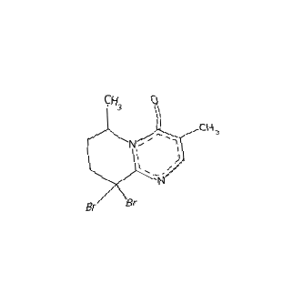 Cc1cnc2n(c1=O)C(C)CCC2(Br)Br